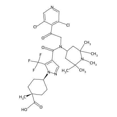 CN1C(C)(C)CC(N(CC(=O)c2c(Cl)cncc2Cl)C(=O)c2cnn([C@H]3CC[C@](C)(C(=O)O)CC3)c2C(F)(F)F)CC1(C)C